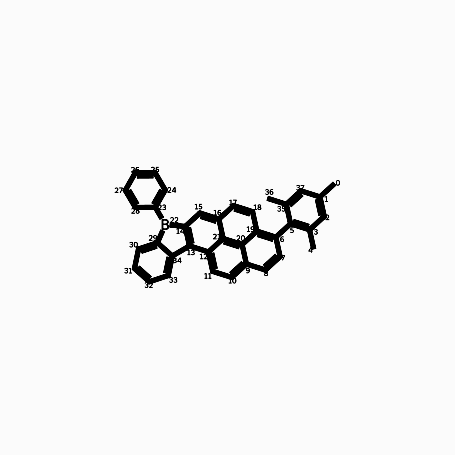 Cc1cc(C)c(-c2ccc3ccc4c5c(cc6ccc2c3c64)B(c2ccccc2)c2ccccc2-5)c(C)c1